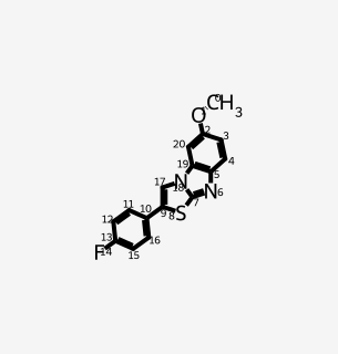 COc1ccc2nc3sc(-c4ccc(F)cc4)cn3c2c1